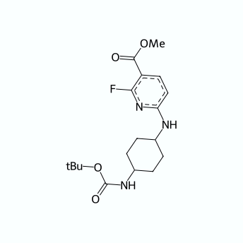 COC(=O)c1ccc(NC2CCC(NC(=O)OC(C)(C)C)CC2)nc1F